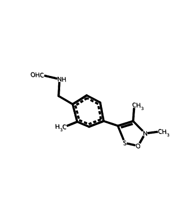 CC1=C(c2ccc(CNC=O)c(C)c2)SON1C